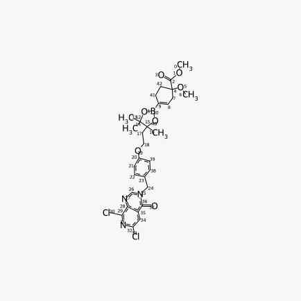 COC(=O)C1(OC)CC=C(B2OC(C)(C)C(C)(CCOc3ccc(Cn4cnc5c(Cl)nc(Cl)cc5c4=O)cc3)O2)CC1